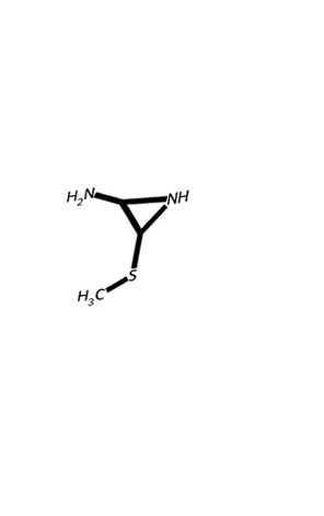 CSC1NC1N